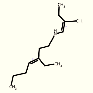 CCC/C=C(\CC)CCN/C=C(/C)CC